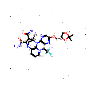 CC1(C)OC[C@@H](COc2cnc(N3c4c(ccc[n+]4CC(F)(F)F)N4C[C@@H]3C(C(N)=O)C4C(N)=O)cn2)O1